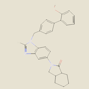 CCCCc1nc2cc(N3CC4CCCCC4C3=O)ccc2n1Cc1ccc(-c2ccccc2OC(=O)O)cc1